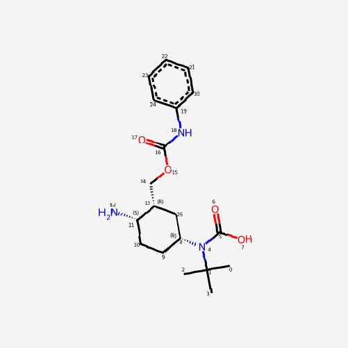 CC(C)(C)N(C(=O)O)[C@@H]1CC[C@H](N)[C@H](COC(=O)Nc2ccccc2)C1